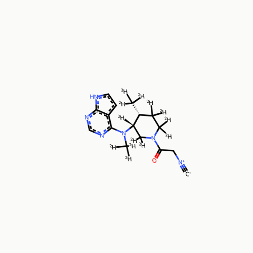 [2H]C([2H])([2H])[C@@H]1C([2H])([2H])C([2H])([2H])N(C(=O)C[N+]#[C-])C([2H])([2H])[C@]1([2H])N(c1ncnc2[nH]ccc12)C([2H])([2H])[2H]